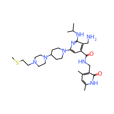 CSCCN1CCN(C2CCN(c3cc(C(=O)NCc4c(C)cc(C)[nH]c4=O)c(CN)c(NC(C)C)n3)CC2)CC1